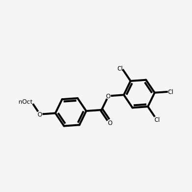 CCCCCCCCOc1ccc(C(=O)Oc2cc(Cl)c(Cl)cc2Cl)cc1